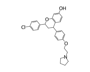 Oc1ccc2c(c1)OC(c1ccc(Cl)cc1)CC2c1ccc(OCCN2CCCC2)cc1